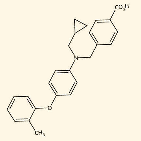 Cc1ccccc1Oc1ccc(N(Cc2ccc(C(=O)O)cc2)CC2CC2)cc1